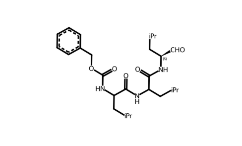 CC(C)CC(NC(=O)OCc1ccccc1)C(=O)NC(CC(C)C)C(=O)N[C@H](C=O)CC(C)C